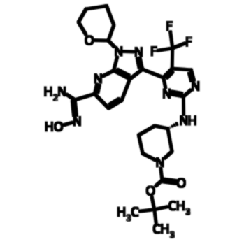 CC(C)(C)OC(=O)N1CCC[C@H](Nc2ncc(C(F)(F)F)c(-c3nn(C4CCCCO4)c4nc(/C(N)=N/O)ccc34)n2)C1